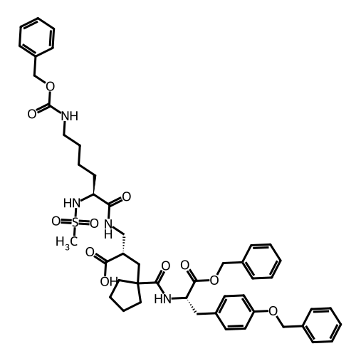 CS(=O)(=O)N[C@@H](CCCCNC(=O)OCc1ccccc1)C(=O)NC[C@H](CC1(C(=O)N[C@@H](Cc2ccc(OCc3ccccc3)cc2)C(=O)OCc2ccccc2)CCCC1)C(=O)O